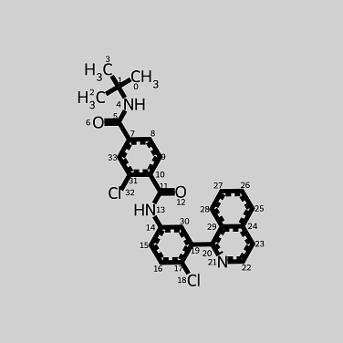 CC(C)(C)NC(=O)c1ccc(C(=O)Nc2ccc(Cl)c(-c3nccc4ccccc34)c2)c(Cl)c1